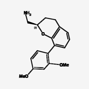 COc1ccc(-c2cccc3c2O[C@@H](CN)CC3)c(OC)c1